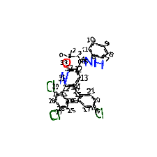 CC1(C)C[C@@H](Nc2ccccc2)c2cc(-c3ccc(Cl)cc3)c(-c3ccc(Cl)cc3Cl)nc2O1